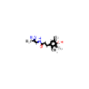 Cc1c(CCC(=O)NCC(C)N)cc(C(C)(C)C)c(O)c1C(C)(C)C